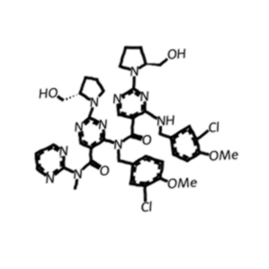 COc1ccc(CNc2nc(N3CCC[C@H]3CO)ncc2C(=O)N(Cc2ccc(OC)c(Cl)c2)c2nc(N3CCC[C@H]3CO)ncc2C(=O)N(C)c2ncccn2)cc1Cl